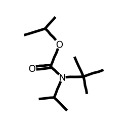 CC(C)OC(=O)N(C(C)C)C(C)(C)C